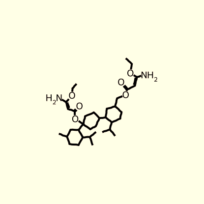 CCOC(N)=CC(=O)OCC1CCC(C(C)C)C(C2CCC(OC(=O)C=C(N)OCC)(C3CC(C)CCC3C(C)C)CC2)C1